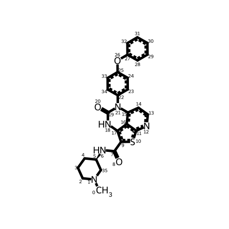 CN1CCC[C@@H](NC(=O)c2sc3nccc4c3c2NC(=O)N4c2ccc(Oc3ccccc3)cc2)C1